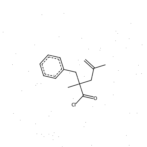 C=C(C)CC(C)(Cc1ccccc1)C(=O)Cl